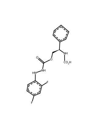 O=C(O)N[C@@H](COC(=O)NNc1ccc(F)cc1F)c1ccccc1